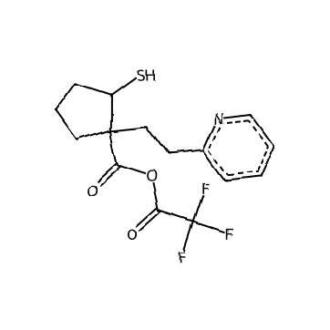 O=C(OC(=O)C1(CCc2ccccn2)CCCC1S)C(F)(F)F